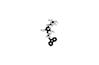 Cc1cc(NC(=O)OC(C)(C)C)nc(C)c1CNC(=O)OCC1c2ccccc2-c2ccccc21